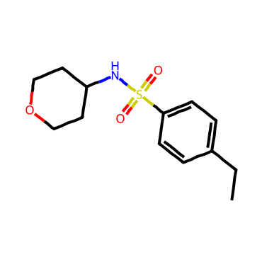 CCc1ccc(S(=O)(=O)NC2CCOCC2)cc1